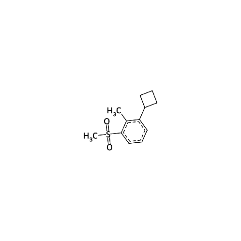 Cc1c(C2CCC2)cccc1S(C)(=O)=O